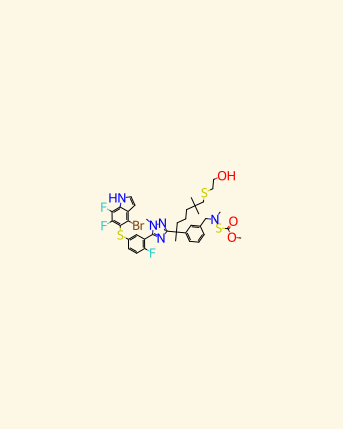 COC(=O)SN(C)Cc1cccc(C(C)(CCCC(C)(C)CSCCO)c2nc(-c3cc(Sc4c(F)c(F)c5[nH]ccc5c4Br)ccc3F)n(C)n2)c1